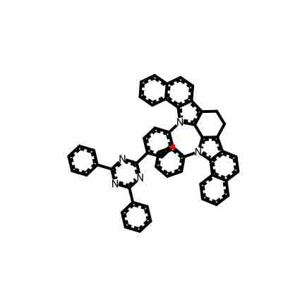 c1ccc(-c2nc(-c3ccccc3)nc(-c3ccc(-n4c5c(c6ccc7ccccc7c64)CCc4c-5n(-c5ccccc5)c5c4ccc4ccccc45)cc3)n2)cc1